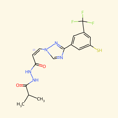 CC(C)C(=O)NNC(=O)/C=C\n1cnc(-c2cc(S)cc(C(F)(F)F)c2)n1